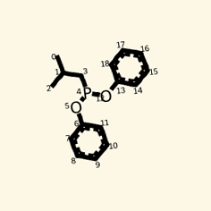 CC(C)CP(Oc1ccccc1)Oc1ccccc1